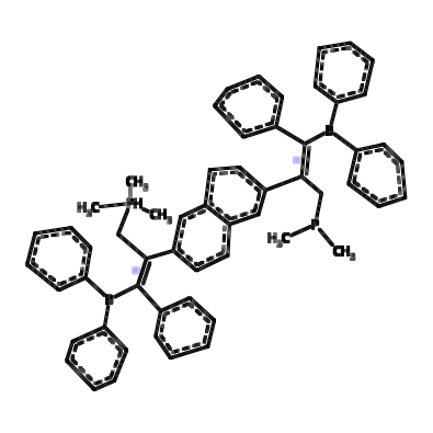 CP(C)C/C(=C(\B(c1ccccc1)c1ccccc1)c1ccccc1)c1ccc2cc(/C(C[PH](C)(C)C)=C(/B(c3ccccc3)c3ccccc3)c3ccccc3)ccc2c1